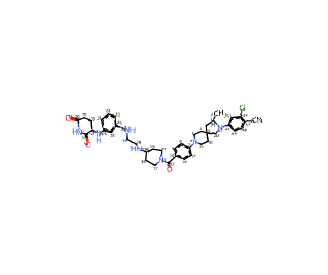 C[C@@H]1CC2(CCN(c3ccc(C(=O)N4CCC(NCCNc5cccc(NC6CCC(=O)NC6=O)c5)CC4)cc3)CC2)CN1c1ccc(C#N)c(Cl)c1